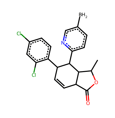 Bc1ccc(C2C(c3ccc(Cl)cc3Cl)C=CC3C(=O)OC(C)C32)nc1